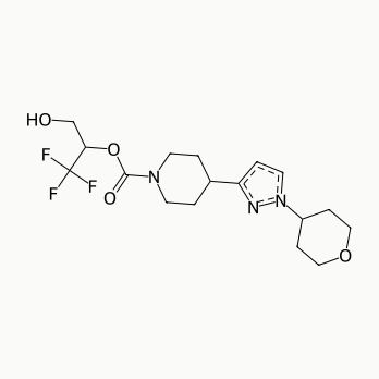 O=C(OC(CO)C(F)(F)F)N1CCC(c2ccn(C3CCOCC3)n2)CC1